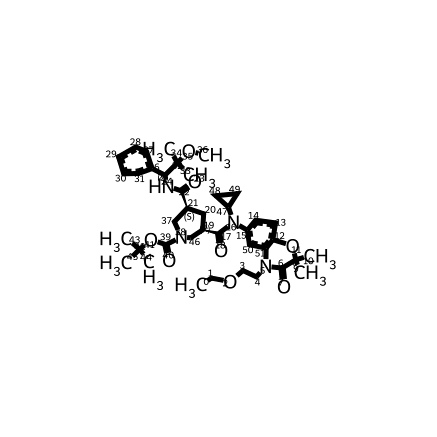 CCOCCN1C(=O)C(C)(C)Oc2ccc(N(C(=O)[C@@H]3C[C@H](C(=O)N[C@@H](c4ccccc4)C(C)(C)OC)CN(C(=O)OC(C)(C)C)C3)C3CC3)cc21